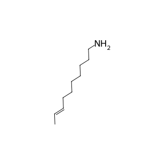 CC=CCCCCCCCN